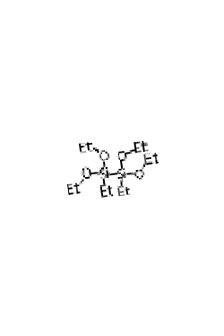 CCO[Si](CC)(OCC)[Si](CC)(OCC)OCC